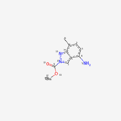 Cc1ccc(N)c2cn(C(=O)OC(C)(C)C)nc12